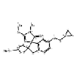 CCC(C)SC1=NC2(C(=O)N1C(C)CC)c1cc(OCC3CC3)ccc1CC21CCC(OC)CC1